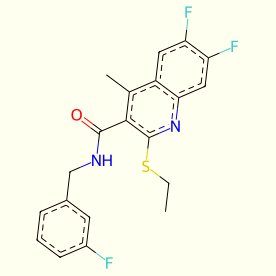 CCSc1nc2cc(F)c(F)cc2c(C)c1C(=O)NCc1cccc(F)c1